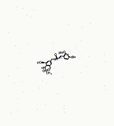 C#Cc1cc(CNC(=O)/C=C/c2ccc(C(C)(C)C)nc2OC)cc(F)c1NS(C)(=O)=O